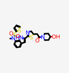 CN(c1cccc2cc(C3=NCC(CC(=O)N4CCC(O)CC4)S3)[nH]c12)S(=O)(=O)c1cccs1